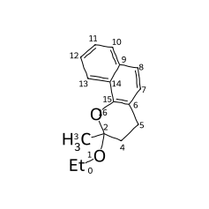 CCOC1(C)CCc2ccc3ccccc3c2O1